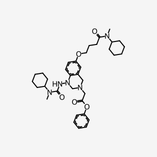 CN(C(=O)CCCOc1ccc2c(c1)CN(CC(=O)Oc1ccccc1)CN2NC(=O)N(C)C1CCCCC1)C1CCCCC1